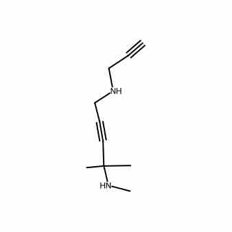 C#CCNCC#CC(C)(C)NC